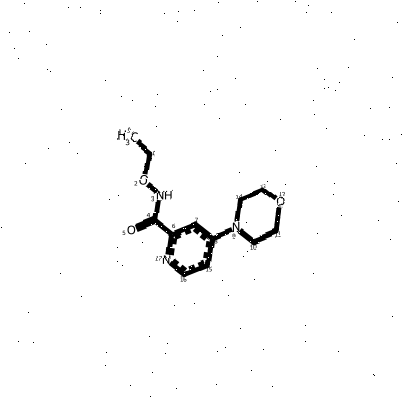 CCONC(=O)c1cc(N2CCOCC2)ccn1